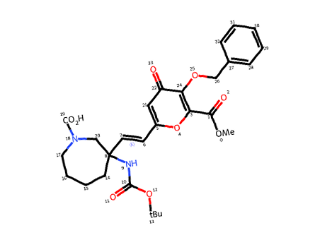 COC(=O)c1oc(/C=C/C2(NC(=O)OC(C)(C)C)CCCCN(C(=O)O)C2)cc(=O)c1OCc1ccccc1